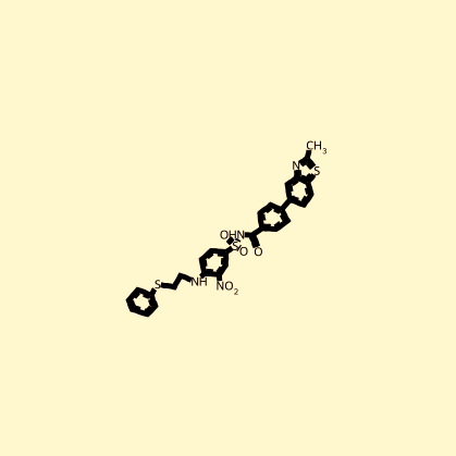 Cc1nc2cc(-c3ccc(C(=O)NS(=O)(=O)c4ccc(NCCSc5ccccc5)c([N+](=O)[O-])c4)cc3)ccc2s1